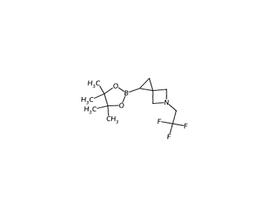 CC1(C)OB(C2CC23CN(CC(F)(F)F)C3)OC1(C)C